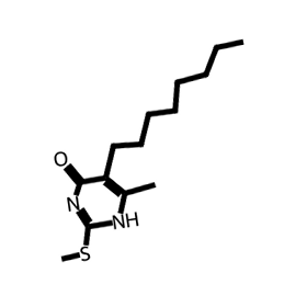 CCCCCCCCc1c(C)[nH]c(SC)nc1=O